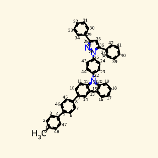 Cc1ccc(-c2ccc(-c3ccc4c(c3)c3ccccc3n4-c3ccc(-n4nc(-c5ccccc5)cc4-c4ccccc4)cc3)cc2)cc1